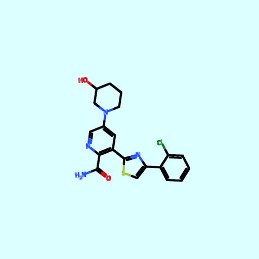 NC(=O)c1ncc(N2CCCC(O)C2)cc1-c1nc(-c2ccccc2Cl)cs1